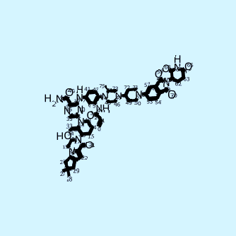 C=CC(=O)Nc1cc(Nc2nc(N3CCCC(N4CCn5c(cc6c5CC(C)(C)C6)C4=O)C3CO)cnc2C(N)=O)ccc1N1CCN(C2CCN(c3ccc4c(c3)C(=O)N(C3CCC(=O)NC3=O)C4=O)CC2)C[C@@H]1C